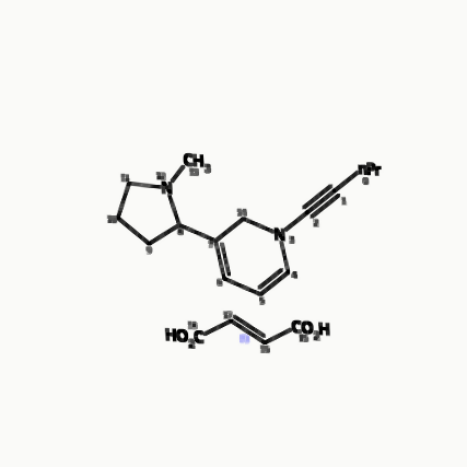 CCCC#CN1C=CC=C(C2CCCN2C)C1.O=C(O)/C=C/C(=O)O